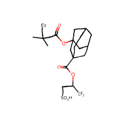 CCC(C)(C)C(=O)OC12CC3CC(C1)CC(C(=O)OC(CS(=O)(=O)O)C(F)(F)F)(C3)C2